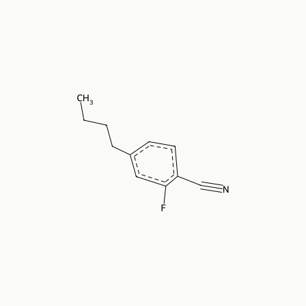 CCCCc1ccc(C#N)c(F)c1